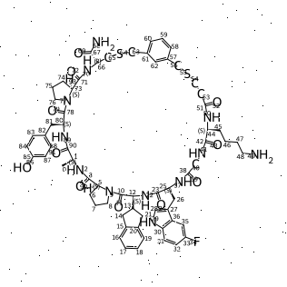 C[C@@H]1NC(=O)[C@@H]2CCCN2C(=O)[C@H](C2Cc3ccccc3C2)NC(=O)[C@H](Cc2c[nH]c3ccc(F)cc23)NC(=O)CNC(=O)[C@H](CCCCN)NC(=O)CCSCc2cccc(c2)CSC[C@@H](C(N)=O)NC(=O)[C@@H]2CCCN2C(=O)[C@H](Cc2ccc(O)cc2)NC1=O